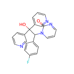 O=c1ncccn1C(c1ccc(F)cc1)C(O)(c1cccnc1)c1cccnc1